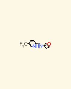 FC(F)(F)c1ccc(CNC23COC(C2)C3)nc1